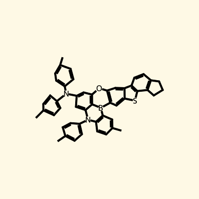 Cc1ccc(N(c2ccc(C)cc2)c2cc3c4c(c2)N(c2ccc(C)cc2)c2ccc(C)cc2B4c2cc4sc5c6c(ccc5c4cc2O3)CCC6)cc1